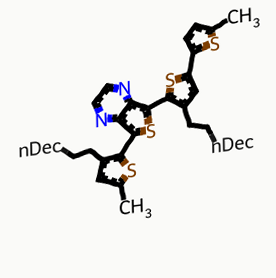 CCCCCCCCCCCCc1cc(C)sc1-c1sc(-c2sc(-c3ccc(C)s3)cc2CCCCCCCCCCCC)c2nccnc12